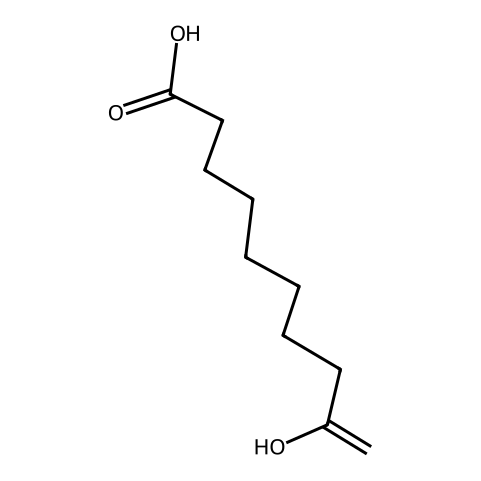 C=C(O)CCCCCCCC(=O)O